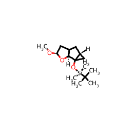 CO[C@H]1CC2C[C@@H]3CC3(O[Si](C)(C)C(C)(C)C)[C@H]2O1